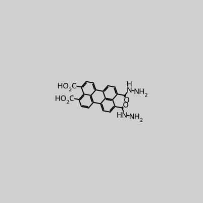 NNC(=O)c1ccc2c3ccc(C(=O)O)c4c(C(=O)O)ccc(c5ccc(C(=O)NN)c1c25)c43